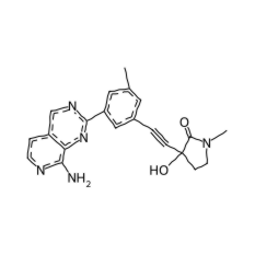 Cc1cc(C#CC2(O)CCN(C)C2=O)cc(-c2ncc3ccnc(N)c3n2)c1